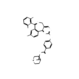 O=C(NC1CN2CCC1CC2)c1ccc(Nc2ncc3c(n2)-c2ccc(Cl)cc2C(c2c(F)cccc2F)=NC3)cc1